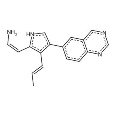 C/C=C/c1c(-c2ccc3ncncc3c2)c[nH]c1/C=C\N